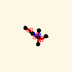 O=C(Cc1ccc(NC(=O)c2cc(OCc3ccccc3)c(C(=O)OCc3ccccc3)cc2OCc2ccccc2)cc1)OCc1ccccc1